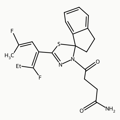 CC/C(F)=C(\C=C(/C)F)C1=NN(C(=O)CCC(N)=O)C2(CCc3ccccc32)S1